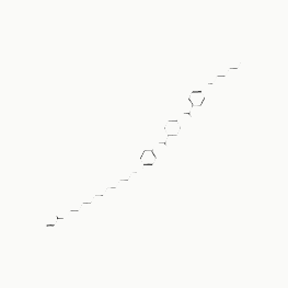 C=CC(=O)OCCCCCCCCCCCOc1ccc(OC(=O)C2CCC(OC(=O)c3ccc(OCCCCCC)cc3)CC2)cc1